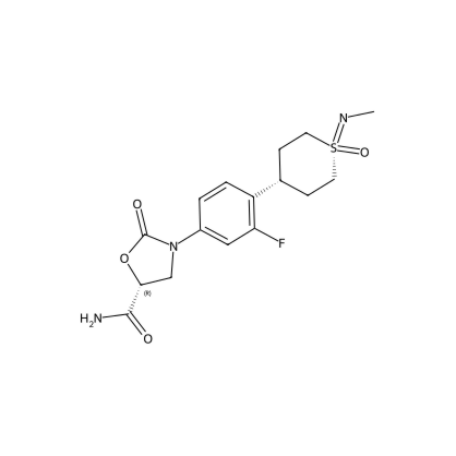 CN=[S@]1(=O)CC[C@H](c2ccc(N3C[C@H](C(N)=O)OC3=O)cc2F)CC1